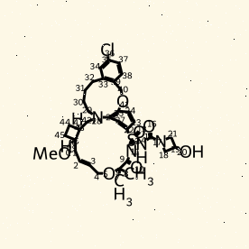 CO[C@H]1/C=C/COC(C)(C)C(=O)N=[S@@](=O)(NC(=O)N2CC(O)C2)c2ccc3c(c2)N(CCCCc2cc(Cl)ccc2CO3)C[C@@H]2CC[C@H]21